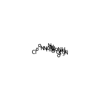 CC1=NC(C)CN1CC[C@H](CSc1ccccc1)Nc1ccc(S(=O)(=O)Nc2ncnc3cc(N4CCN(Cc5ccccc5-c5ccc(Cl)cc5)CC4)ccc23)cc1C(F)(F)F